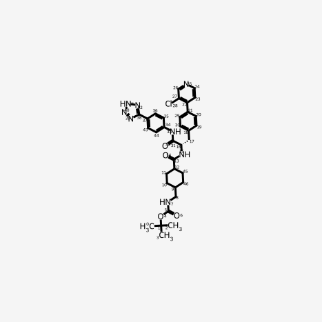 CC(C)(C)OC(=O)NCC1CCC(C(=O)N[C@@H](Cc2ccc(-c3ccncc3Cl)cc2)C(=O)Nc2ccc(-c3nn[nH]n3)cc2)CC1